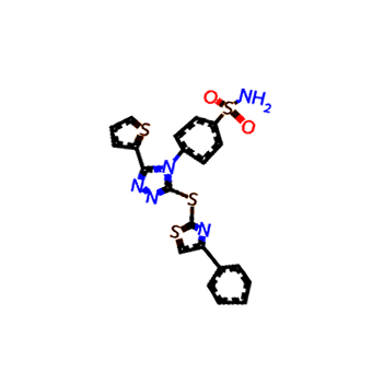 NS(=O)(=O)c1ccc(-n2c(Sc3nc(-c4ccccc4)cs3)nnc2-c2cccs2)cc1